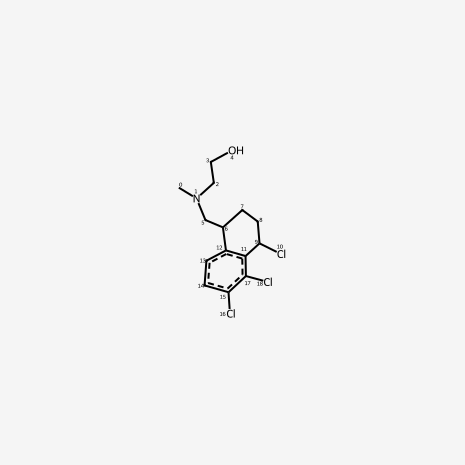 CN(CCO)CC1CCC(Cl)c2c1ccc(Cl)c2Cl